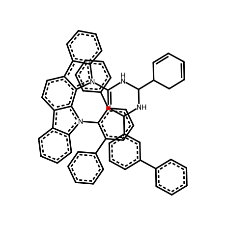 C1=CCC(C2NC(n3c4ccccc4c4ccc5c6ccccc6n(-c6c(-c7ccccc7)cccc6-c6ccccc6)c5c43)=NC(c3cccc(-c4ccccc4)c3)N2)C=C1